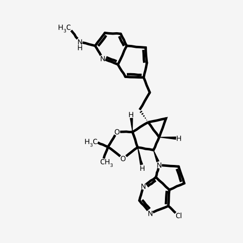 CNc1ccc2ccc(CC[C@]34C[C@@H]3[C@@H](n3ccc5c(Cl)ncnc53)[C@@H]3OC(C)(C)O[C@@H]34)cc2n1